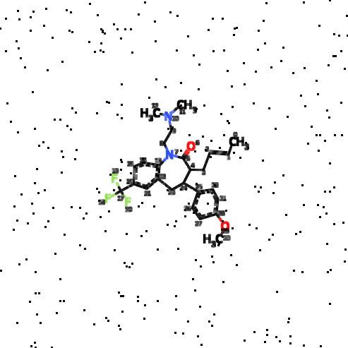 CC=CCC1C(=O)N(CCN(C)C)c2ccc(C(F)(F)F)cc2CC1c1ccc(OC)cc1